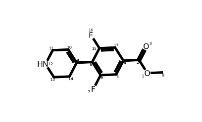 COC(=O)c1cc(F)c(C2=CCNCC2)c(F)c1